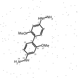 COc1cc(NN)ccc1-c1ccc(NN)cc1OC